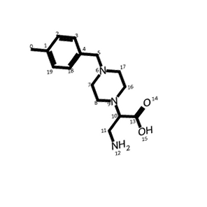 Cc1ccc(CN2CCN(C(CN)C(=O)O)CC2)cc1